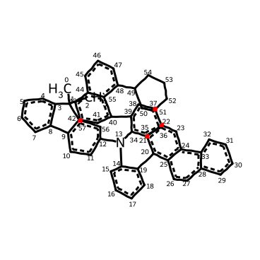 CC1(C)c2ccccc2-c2ccc(N(c3ccccc3-c3cccc4c3ccc3ccccc34)c3ccccc3-c3cccc4cccc(C5CCCCC5)c34)cc21